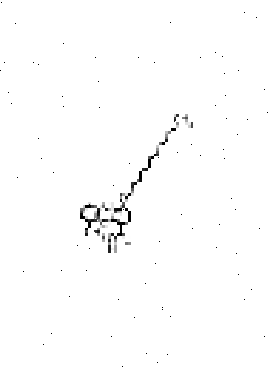 CCCCCCCCCCCCOc1ccc(C(=O)O)c(Oc2c(C)cccc2C)c1